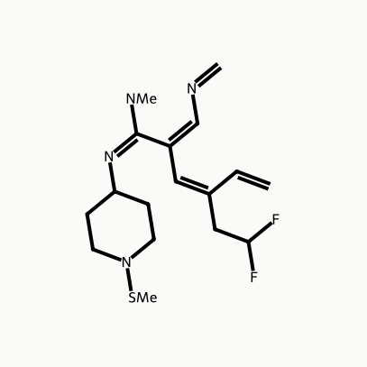 C=C\C(=C/C(=C/N=C)C(=N\C1CCN(SC)CC1)/NC)CC(F)F